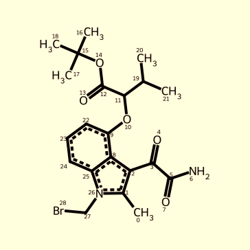 Cc1c(C(=O)C(N)=O)c2c(OC(C(=O)OC(C)(C)C)C(C)C)cccc2n1CBr